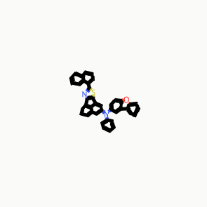 c1ccc(N(c2cc3c4c(cccc4c2)-c2nc(-c4cccc5ccccc45)sc2-3)c2ccc3oc4ccccc4c3c2)cc1